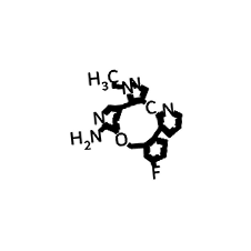 CCn1ncc2c1-c1cnc(N)c(c1)OCc1cc(F)ccc1-c1cccnc1C2